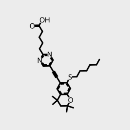 CCCCCCSc1cc2c(cc1C#Cc1cnc(CCCCC(=O)O)nc1)C(C)(C)CC(C)(C)O2